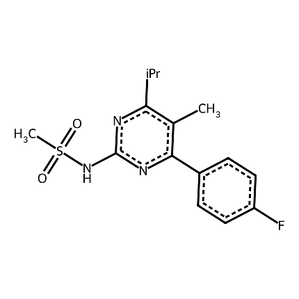 Cc1c(-c2ccc(F)cc2)nc(NS(C)(=O)=O)nc1C(C)C